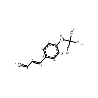 O=CC=Cc1ccc(OC(F)(F)F)cc1